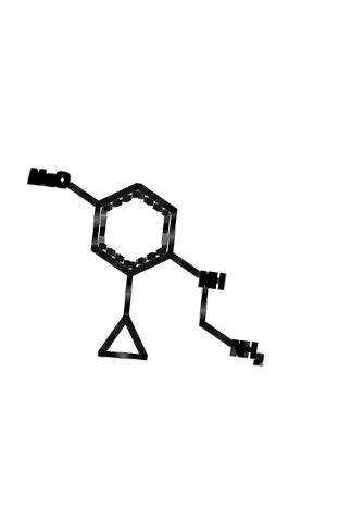 COc1ccc(NCN)c(C2CC2)c1